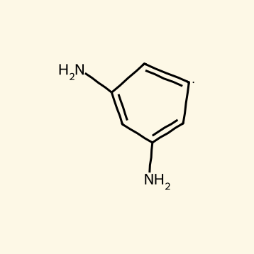 Nc1c[c]cc(N)c1